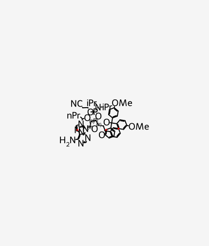 CCCC(O[C@@H]1[C@H](OP(OCCC#N)N(C(C)C)C(C)C)[C@@H](C(OC(c2ccccc2)(c2ccc(OC)cc2)c2ccc(OC)cc2)C(=O)c2ccccc2)O[C@H]1n1cnc2c(N)ncnc21)n1ccnc1